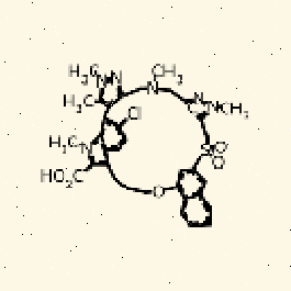 Cc1c2c(nn1C)CN(C)Cc1cc(n(C)n1)CS(=O)(=O)c1cc(c3ccccc3c1)OCCCc1c(C(=O)O)n(C)c3c-2c(Cl)ccc13